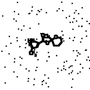 O=C(OC1(Cl)CCCCO1)c1cc(C(F)(F)F)n[nH]1